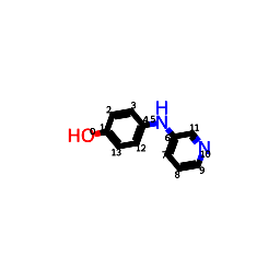 Oc1ccc(Nc2cccnc2)cc1